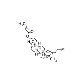 C/C=C/C(=O)OC1CC[C@@]2(C)C(=CC[C@H]3[C@@H]4CC[C@H]([C@@H](C)CCCC(C)C)[C@@]4(C)CC[C@@H]32)C1